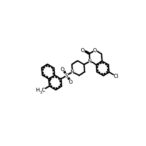 Cc1ccc(S(=O)(=O)N2CCC(N3C(=O)OCc4cc(Cl)ccc43)CC2)c2ccccc12